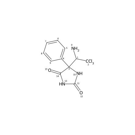 NC(C(Cl)(Cl)Cl)C1(c2ccccc2)NC(=O)NC1=O